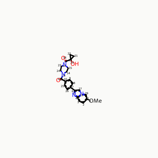 COc1ccc2nc(-c3ccc(C(=O)N4CCN(C(=O)C5(O)CC5)CC4)cc3)cn2c1